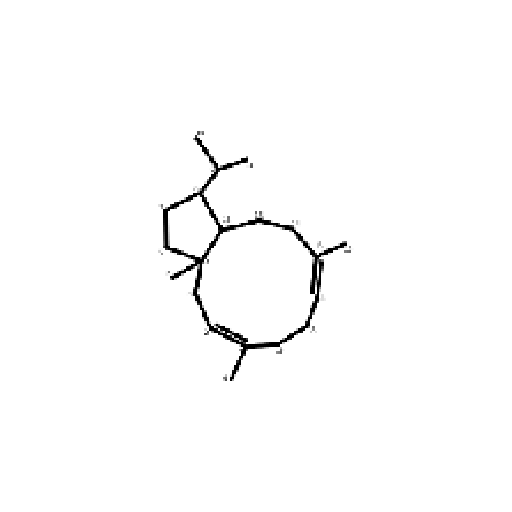 CC1=CCC2(C)CCC(C(C)C)C2CCC(C)=CCC1